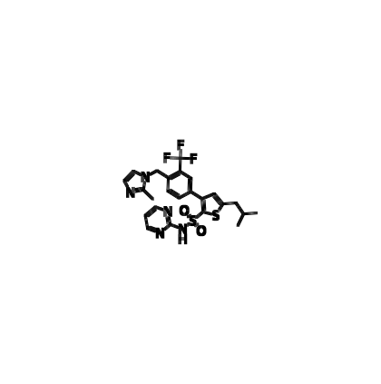 Cc1nccn1Cc1ccc(-c2cc(CC(C)C)sc2S(=O)(=O)Nc2ncccn2)cc1C(F)(F)F